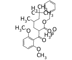 COc1cccc(OC)c1C(=O)C(CC(C)CC(C)(C)C)C(=O)OCc1ccccc1.O=[PH3]